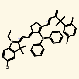 C=C(/C=C/C1=C(N(c2ccccc2)c2ccccc2)C(=C/C=C2/N(CC)c3ccc(Cl)cc3C2(C)C)/CC1)C(C)(C)c1cc(Cl)ccc1C